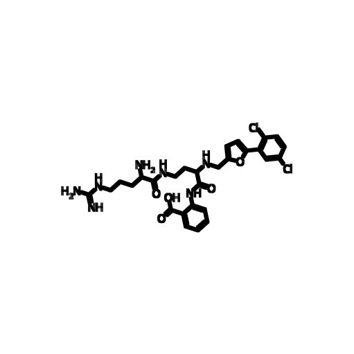 N=C(N)NCCCC(N)C(=O)NCCC(NCc1ccc(-c2cc(Cl)ccc2Cl)o1)C(=O)Nc1ccccc1C(=O)O